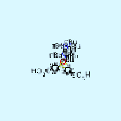 CCCC[N+](CCCC)(CCCC)CCCC.CCCC[N+](CCCC)(CCCC)CCCC.O=C(O)c1ccc([S+]([O-])c2ccc(C(=O)O)cc2)cc1